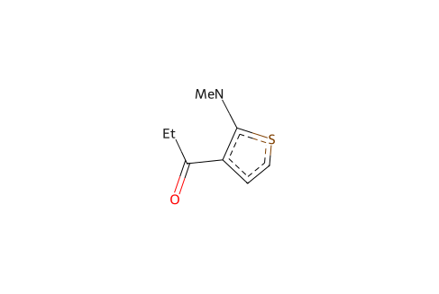 CCC(=O)c1ccsc1NC